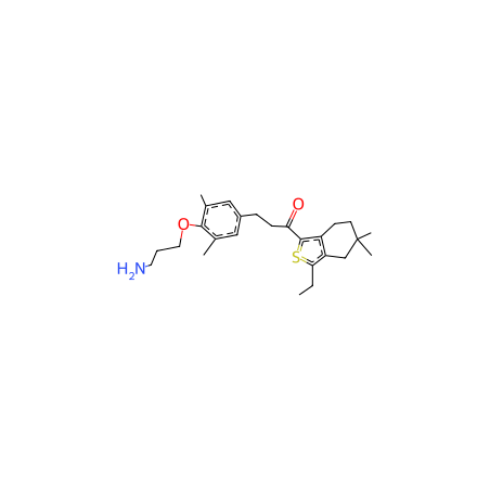 CCc1sc(C(=O)CCc2cc(C)c(OCCCN)c(C)c2)c2c1CC(C)(C)CC2